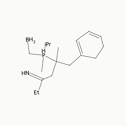 BC[PH](C)(C(C)C)C(C)(CC(=N)CC)CC1=CC=CCC1